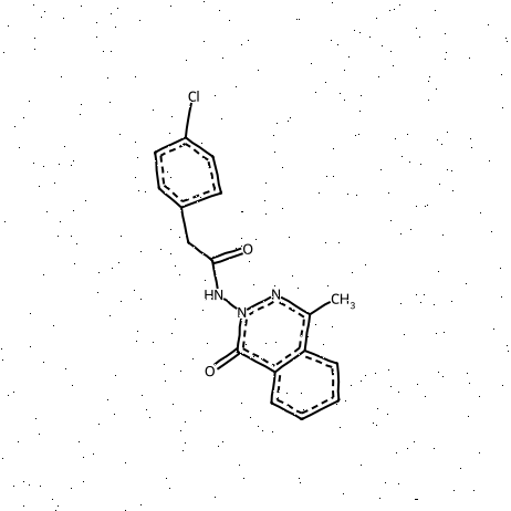 Cc1nn(NC(=O)Cc2ccc(Cl)cc2)c(=O)c2ccccc12